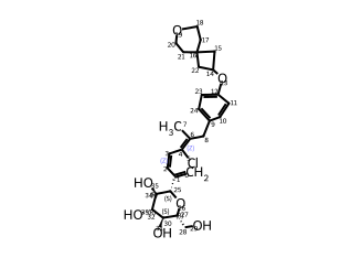 C=C(/C=C\C(Cl)=C(/C)Cc1ccc(OC2CC3(CCOCC3)C2)cc1)[C@@H]1O[C@H](CO)[C@@H](O)[C@H](O)[C@H]1O